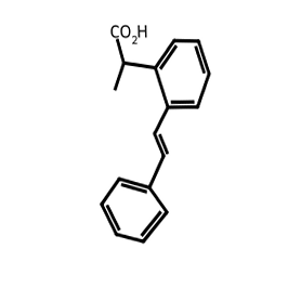 CC(C(=O)O)c1ccccc1C=Cc1ccccc1